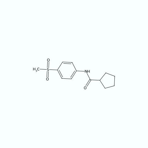 CS(=O)(=O)c1ccc(NC(=O)C2CCCC2)cc1